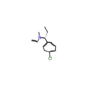 C=CN(C)[C@H](CC)C1=CCC(Cl)=CC=C1